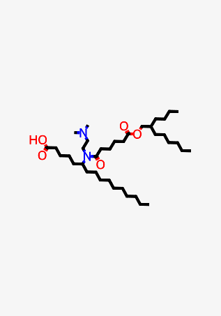 CCCCCCCCCCC(CCCCC(=O)O)N(CCN(C)C)C(=O)CCCCC(=O)OCC(CCCC)CCCCCC